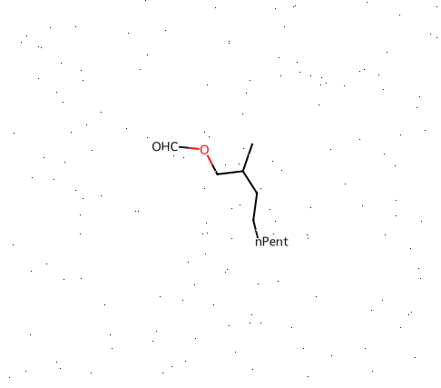 CCCCCCCC(C)COC=O